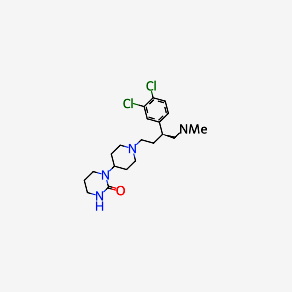 CNC[C@@H](CCN1CCC(N2CCCNC2=O)CC1)c1ccc(Cl)c(Cl)c1